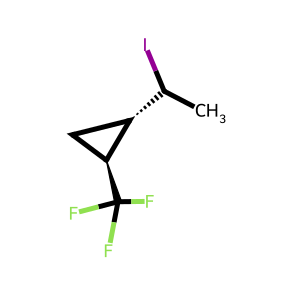 CC(I)[C@H]1C[C@@H]1C(F)(F)F